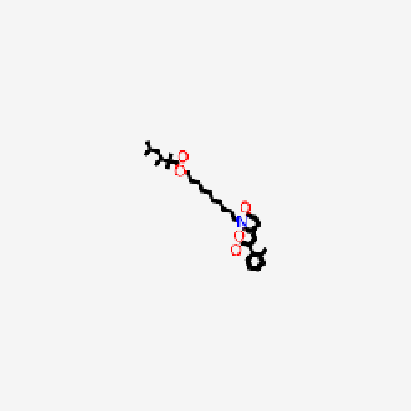 Cc1ccccc1-c1cc2ccc(=O)n(CCCCCCCCCCOC(=O)C(C)(C)C(C)CC(C)C)c2oc1=O